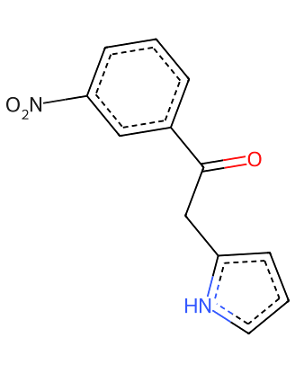 O=C(Cc1ccc[nH]1)c1cccc([N+](=O)[O-])c1